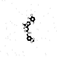 Cn1c(CC(=O)NCc2ccc3c(c2)OCO3)c2n(c1=S)C[C@H](c1c(F)ccc(Cl)c1F)C2